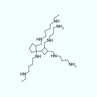 CCNCCCCNCC1CCCC1(NCCCCNCC)C1CC(CNCCCN)C1CNCCCN